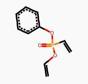 C=COP(=O)(C=C)Oc1ccccc1